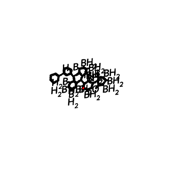 Bc1c(B)c(B)c2c(oc3c(B)c(B)c(-c4c5c(B)c(B)c(B)c(B)c5c(-c5cccc(-c6ccccc6)c5)c5c(B)c(B)c(B)c(B)c45)c(B)c32)c1B